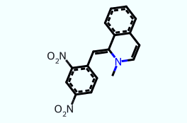 CN1C=Cc2ccccc2C1=Cc1ccc([N+](=O)[O-])cc1[N+](=O)[O-]